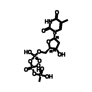 Cc1cn([C@H]2C[C@@H](O)[C@@H](COP(=O)(O)OP(=O)(O)OP(C)(=O)O)O2)c(=O)[nH]c1=O